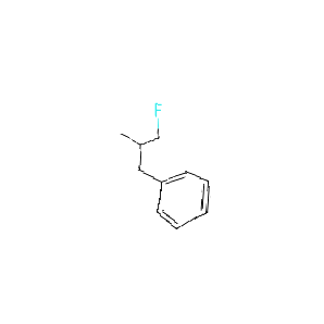 CC(CF)Cc1ccccc1